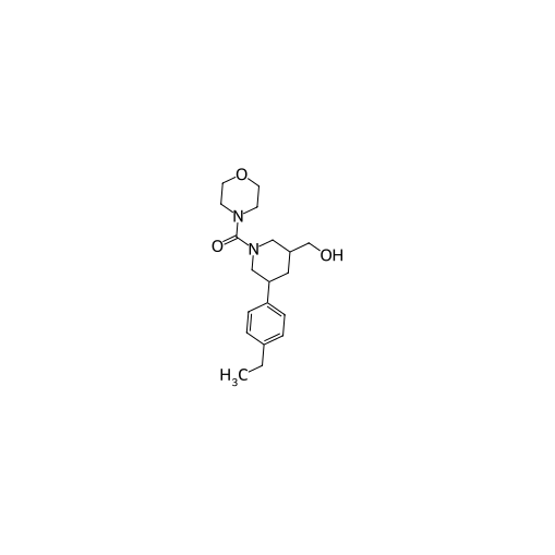 CCc1ccc(C2CC(CO)CN(C(=O)N3CCOCC3)C2)cc1